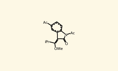 COC(=C1C(=O)N(C(C)=O)c2ccc(C(C)=O)cc21)C(C)C